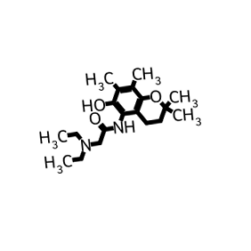 CCN(CC)CC(=O)Nc1c(O)c(C)c(C)c2c1CCC(C)(C)O2